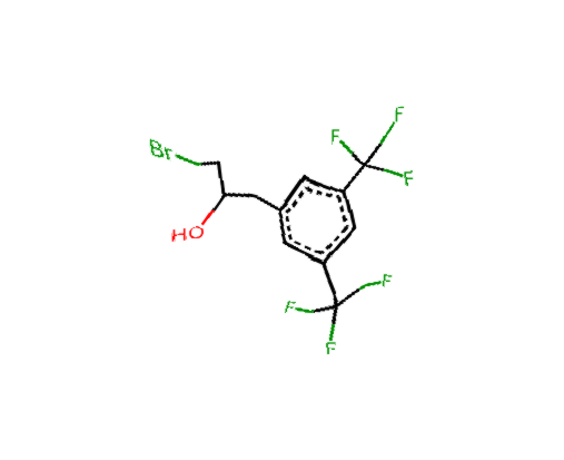 OC(CBr)c1cc(C(F)(F)F)cc(C(F)(F)F)c1